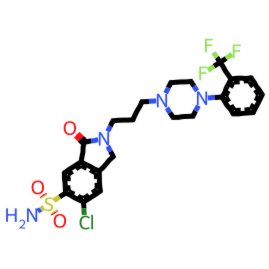 NS(=O)(=O)c1cc2c(cc1Cl)CN(CCCN1CCN(c3ccccc3C(F)(F)F)CC1)C2=O